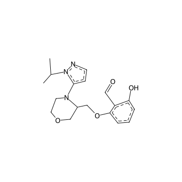 CC(C)n1nccc1N1CCOCC1COc1cccc(O)c1C=O